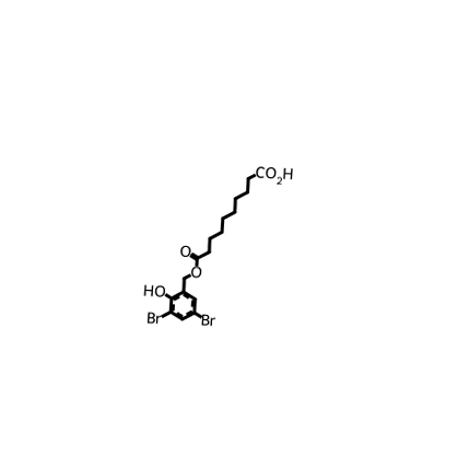 O=C(O)CCCCCCCCC(=O)OCc1cc(Br)cc(Br)c1O